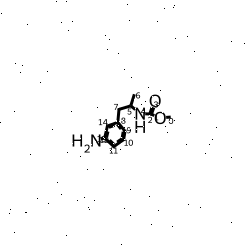 COC(=O)NC(C)Cc1cccc(N)c1